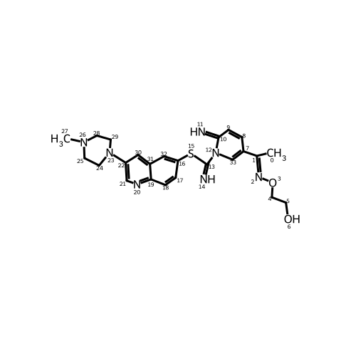 C/C(=N\OCCO)c1ccc(=N)n(C(=N)Sc2ccc3ncc(N4CCN(C)CC4)cc3c2)c1